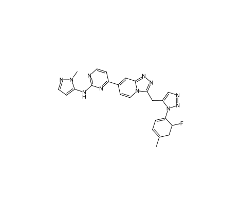 CC1=CC=C(n2nncc2Cc2nnc3cc(-c4ccnc(Nc5ccnn5C)n4)ccn23)C(F)C1